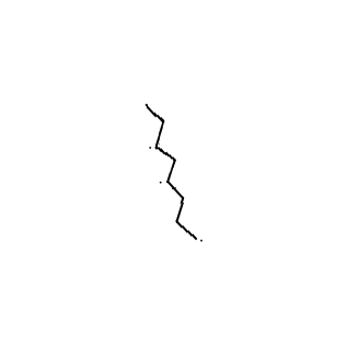 [CH2]CC[CH]C[CH]CC